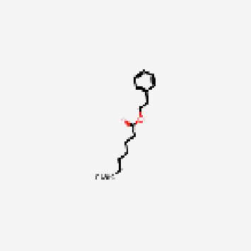 CCCCCCCCCCCCCCCC(=O)OCCc1ccccc1